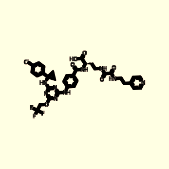 O=C(NCCc1ccncc1)C(=O)NCC[C@H](NC(=O)c1ccc(Nc2nc(NC3(c4ccc(Cl)cc4)CC3)nc(OCC(F)(F)F)n2)cc1)C(=O)O